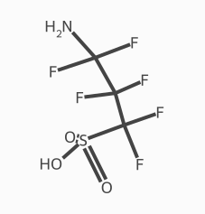 NC(F)(F)C(F)(F)C(F)(F)S(=O)(=O)O